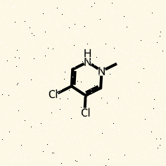 CN1C=C(Cl)C(Cl)=CN1